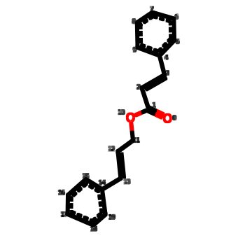 O=C(C=Cc1ccccc1)OC/C=C/c1ccccc1